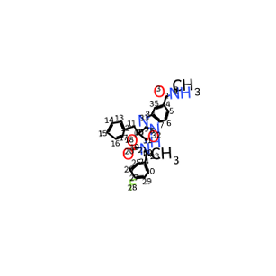 CNC(=O)c1ccc2[nH]c([C@@]3(Cc4ccccc4)OC(=O)N([C@H](C)c4ccc(F)cc4)C3=O)nc2c1